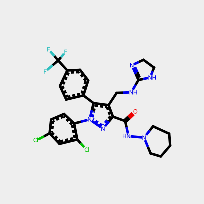 O=C(NN1CCCCC1)c1nn(-c2ccc(Cl)cc2Cl)c(-c2ccc(C(F)(F)F)cc2)c1CNC1=NCCN1